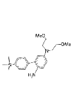 COCCN(CCOC)c1ccc(N)c(-c2ccc([Si](C)(C)C)cc2)c1